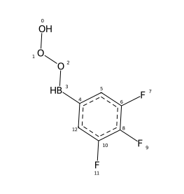 OOOBc1cc(F)c(F)c(F)c1